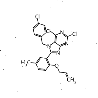 C=CCOc1ccc(C)cc1-c1nc2nc(Cl)nc(Cl)c2n1Cc1ccc(Cl)cc1